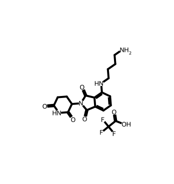 NCCCCNc1cccc2c1C(=O)N(C1CCC(=O)NC1=O)C2=O.O=C(O)C(F)(F)F